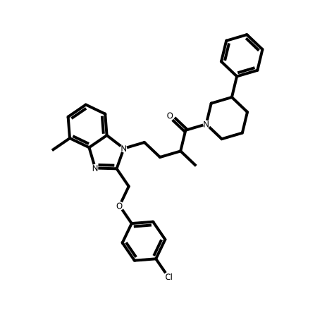 Cc1cccc2c1nc(COc1ccc(Cl)cc1)n2CCC(C)C(=O)N1CCCC(c2ccccc2)C1